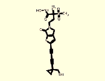 CC(CCN1Cc2cc(C#CC#CC3(CO)CC3)sc2C1=O)(C(=O)NO)S(C)(=O)=O